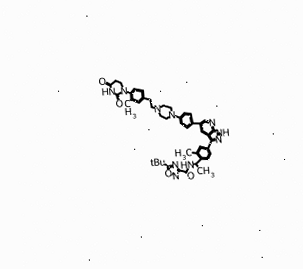 Cc1cc(-c2n[nH]c3ncc(-c4ccc(N5CCN(CCc6ccc(N7CCC(=O)NC7=O)c(C)c6)CC5)cc4)cc23)ccc1C(C)NC(=O)c1noc(C(C)(C)C)n1